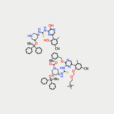 Cc1cc(C#N)cc(O)c1-c1cnc(O)c(NC(=S)N[C@H]2CNC[C@@H](O[Si](c3ccccc3)(c3ccccc3)C(C)(C)C)C2)n1.Cc1cc(C#N)cc(OCOCC[Si](C)(C)C)c1-c1cnc(OCc2ccccc2)c(NC(=S)N[C@@H]2C[C@H](O[Si](c3ccccc3)(c3ccccc3)C(C)(C)C)CN(C(=O)OC(C)(C)C)C2)n1